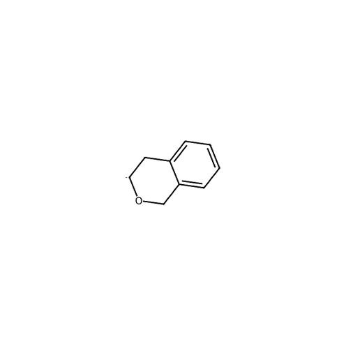 [CH]1Cc2ccccc2CO1